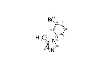 Cc1nncn1-c1cccc(Br)c1